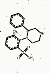 Cc1cccc(S(N)(=O)=O)c1N1CCNCC1c1ccccc1